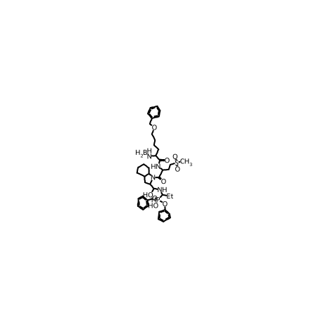 BNC(CCCCOCc1ccccc1)C(=O)NC(CCS(C)(=O)=O)C(=O)N1C2CCCCC2CC1C(O)NC(CC)[PH](O)(Oc1ccccc1)Oc1ccccc1